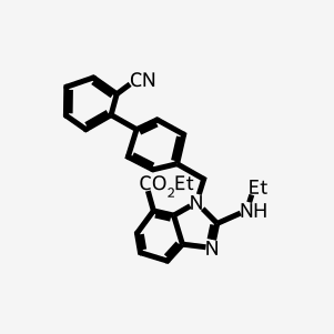 CCNc1nc2cccc(C(=O)OCC)c2n1Cc1ccc(-c2ccccc2C#N)cc1